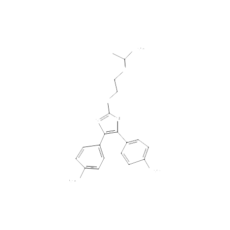 COc1ccc(-c2nc(SCCOC(C)OC)[nH]c2-c2ccc(OC)cc2)cc1